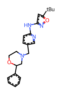 CC(C)(C)c1cc(Nc2ccc(CN3CCOC(c4ccccc4)C3)cn2)no1